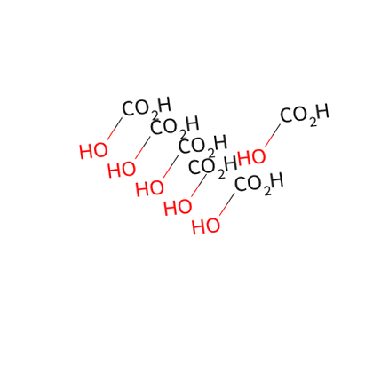 O=C(O)O.O=C(O)O.O=C(O)O.O=C(O)O.O=C(O)O.O=C(O)O